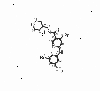 CC(C)c1cc(Nc2cc(Br)cc(C(F)(F)F)c2)ncc1C(=O)NCC1CCOCC1